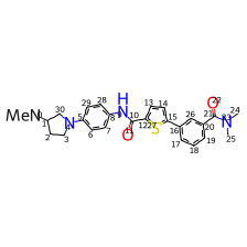 CNC1CCN(c2ccc(NC(=O)c3ccc(-c4cccc(C(=O)N(C)C)c4)s3)cc2)C1